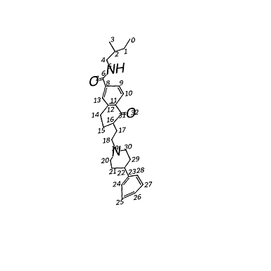 CCC(C)CNC(=O)c1ccc2c(c1)CCC(CCN1CCC(c3ccccc3)CC1)C2=O